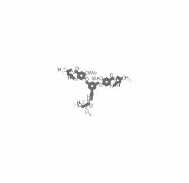 COc1cc2c(cc1OCc1cc(C#CCNC(=O)C(C)(C)CO)cc(COc3cc4c(cc3OC)C(=O)N3C=C(C)C[C@H]3C=N4)c1)N=C[C@@H]1CC(C)=CN1C2=O